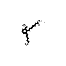 CCCCCCC1CCCC(CO)C1CCCCCCC(=O)OC